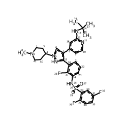 CN1CCC(n2cc(-c3ccnc(NC(C)(C)C)c3)c(-c3cccc(NS(=O)(=O)c4cc(F)ccc4F)c3F)n2)CC1